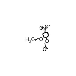 C=CCOc1cc([N+](=O)[O-])ccc1OCC1CO1